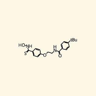 CC(C)(C)c1ccc(C(=O)NCCOc2ccc(C(=S)NO)cc2)cc1